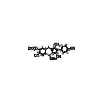 CCOC(=O)c1cc(Cn2c(C)c(-c3ccc(C#N)cc3)c(C#N)c2CSC)cnc1Cl